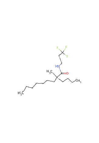 CCCCCCCC(C)(CCCC)C(=O)NCCC(F)(F)F